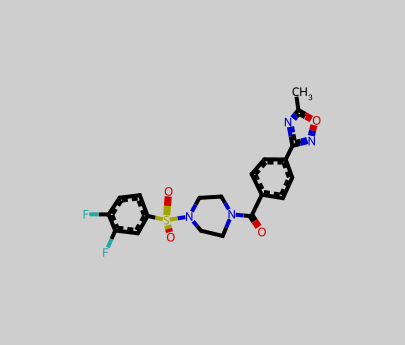 Cc1nc(-c2ccc(C(=O)N3CCN(S(=O)(=O)c4ccc(F)c(F)c4)CC3)cc2)no1